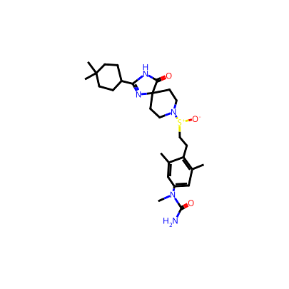 Cc1cc(N(C)C(N)=O)cc(C)c1CC[S+]([O-])N1CCC2(CC1)N=C(C1CCC(C)(C)CC1)NC2=O